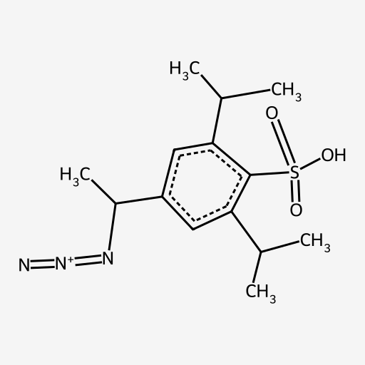 CC(C)c1cc(C(C)N=[N+]=[N-])cc(C(C)C)c1S(=O)(=O)O